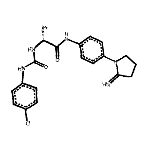 CC(C)[C@@H](NC(=O)Nc1ccc(Cl)cc1)C(=O)Nc1ccc(N2CCCC2=N)cc1